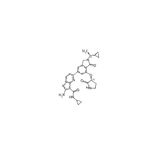 C[C@@H](C1CC1)N1Cc2cc(-c3ccn4nc(N)c(C(=O)NC5CC5)c4n3)cc(O[C@H]3CCNC3=O)c2C1=O